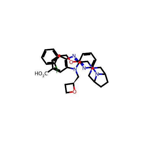 O=C(O)c1ccc2nc(CN3CC4CCC(C3)N4c3cccc(OCc4ccccc4F)n3)n(C[C@@H]3CCO3)c2c1